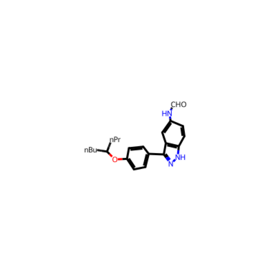 CCCCC(CCC)Oc1ccc(-c2n[nH]c3ccc(NC=O)cc23)cc1